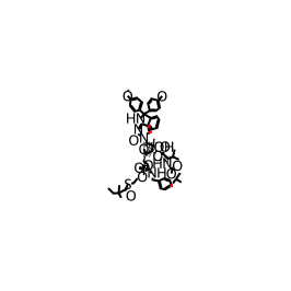 CCC(C)(C)C(=O)SCCOP(=O)(NCc1ccccc1)OC[C@H]1O[C@@H](n2ccc(NC(c3ccccc3)(c3ccc(OC)cc3)c3ccc(OC)cc3)nc2=O)[C@](C)(O)[C@@H]1OC(=O)[C@@H](NC(=O)OC(C)(C)C)C(C)C